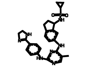 Cc1cnc(Nc2ccc(C3=NCCN3)cc2)nc1Nc1ccc2c(c1)C(NS(=O)(=O)C1CC1)CC2